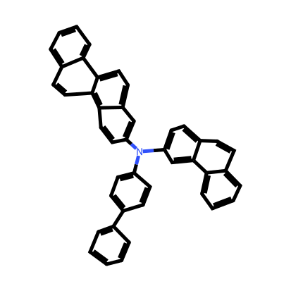 c1ccc(-c2ccc(N(c3ccc4c(ccc5c6ccccc6ccc45)c3)c3ccc4ccc5ccccc5c4c3)cc2)cc1